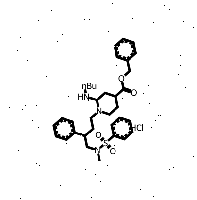 CCCCNC1CC(C(=O)OCc2ccccc2)CCN1CCC(CN(C)S(=O)(=O)c1ccccc1)c1ccccc1.Cl